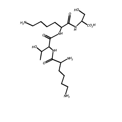 CC(O)C(NC(=O)C(N)CCCCN)C(=O)NC(CCCCN)C(=O)NC(CO)C(=O)O